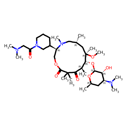 CO[C@]1(C)C[C@@H](C)CN(C)[C@H](C2CCCN(C(=O)CN(C)C)C2)COC(=O)C(C)(C)C(=O)[C@H](C)[C@H]1O[C@@H]1O[C@H](C)C[C@H](N(C)C)[C@H]1O